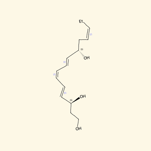 CC/C=C\C[C@H](O)/C=C/C=C\C=C\[C@@H](O)CCO